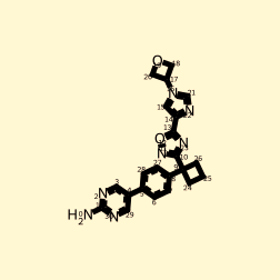 Nc1ncc(-c2ccc(C3(c4noc(-c5cn(C6COC6)cn5)n4)CCC3)cc2)cn1